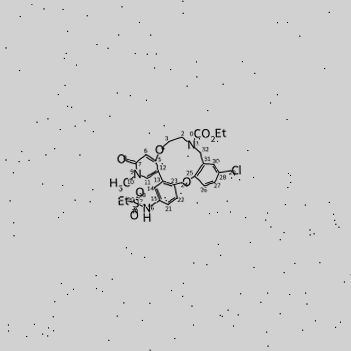 CCOC(=O)N1CCOc2cc(=O)n(C)cc2-c2cc(NS(=O)(=O)CC)ccc2Oc2ccc(Cl)cc2C1